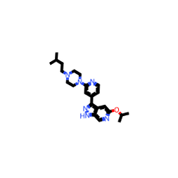 CC(C)CCN1CCN(c2cc(-c3n[nH]c4cnc(OC(C)C)cc34)ccn2)CC1